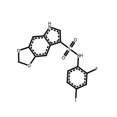 O=S(=O)(Nc1ccc(I)cc1F)c1c[nH]c2cc3c(cc12)OCO3